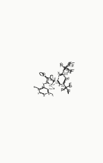 Cc1ccc(C)c(CN2C(=O)O[C@H](c3cc(C(F)(F)F)cc(C(F)(F)F)c3)[C@@H]2C)c1